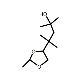 CC1OCC(C(C)(C)CC(C)(C)O)O1